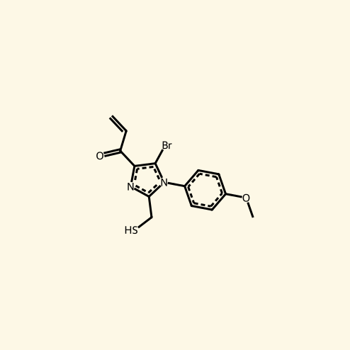 C=CC(=O)c1nc(CS)n(-c2ccc(OC)cc2)c1Br